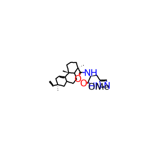 C=C[C@@]1(C)CC=C2C(CCC3[C@](C)(C(=O)N[C@@H](Cc4cnc[nH]4)C(=O)OC)CCC[C@@]23C)C1